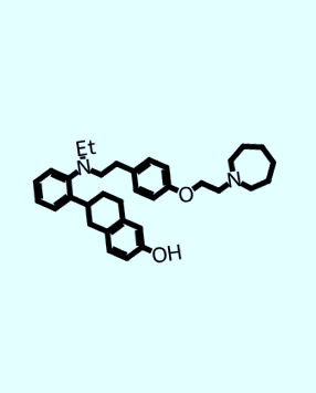 CCN(CCc1ccc(OCCN2CCCCCC2)cc1)c1ccccc1C1CCc2cc(O)ccc2C1